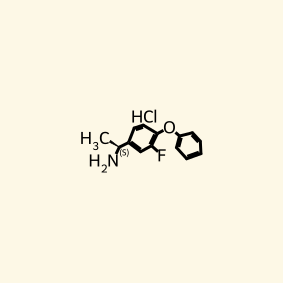 C[C@H](N)c1ccc(Oc2ccccc2)c(F)c1.Cl